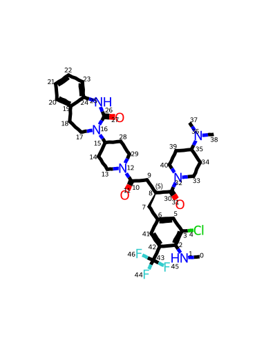 CNc1c(Cl)cc(C[C@@H](CC(=O)N2CCC(N3CCc4ccccc4NC3=O)CC2)C(=O)N2CCC(N(C)C)CC2)cc1C(F)(F)F